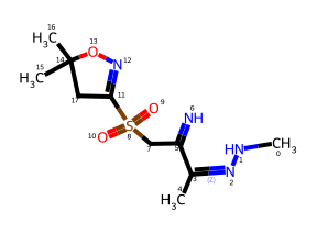 CN/N=C(/C)C(=N)CS(=O)(=O)C1=NOC(C)(C)C1